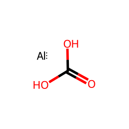 O=C(O)O.[Al]